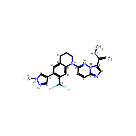 C=C(NC)c1cnc2ccc(N3CCCc4cc(-c5cnn(C)c5)c(C(F)F)cc43)nn12